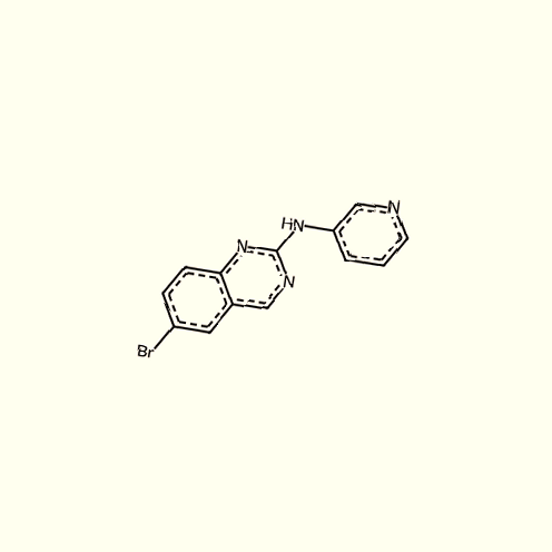 Brc1ccc2nc(Nc3cccnc3)ncc2c1